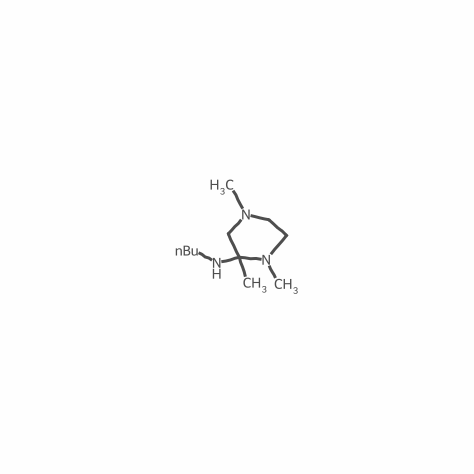 CCCCNC1(C)CN(C)CCN1C